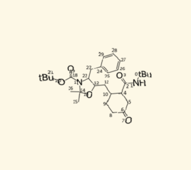 CC(C)(C)NC(=O)C1CC(=O)CCC1CC1OC(C)(C)N(C(=O)OC(C)(C)C)C1Cc1ccccc1